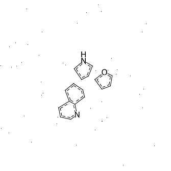 c1cc[nH]c1.c1ccc2ncccc2c1.c1ccoc1